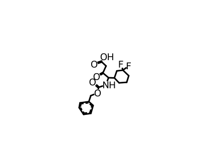 O=C(O)CC(=O)C(NC(=O)OCc1ccccc1)C1CCCC(F)(F)C1